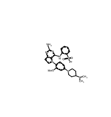 COc1cc(N2CCC(N(C)C)CC2)ccc1-n1ccc2nc(N)nc(Nc3ccccc3S(=O)(=O)C(C)C)c21